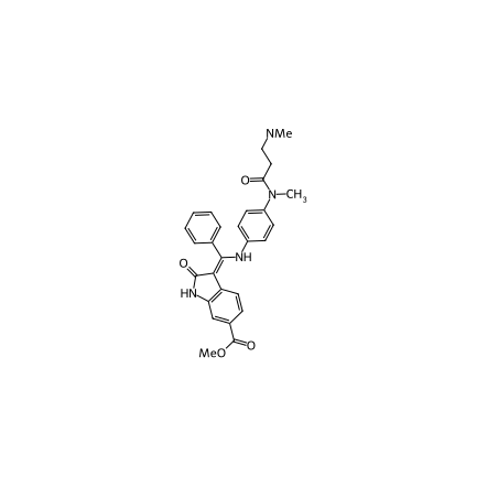 CNCCC(=O)N(C)c1ccc(NC(=C2C(=O)Nc3cc(C(=O)OC)ccc32)c2ccccc2)cc1